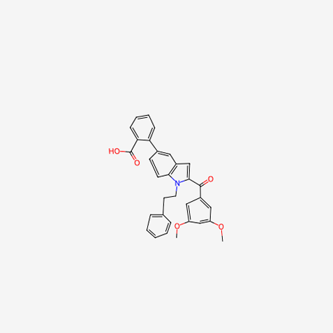 COc1cc(OC)cc(C(=O)c2cc3cc(-c4ccccc4C(=O)O)ccc3n2CCc2ccccc2)c1